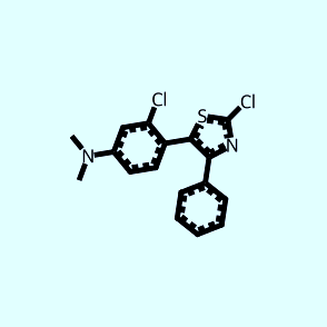 CN(C)c1ccc(-c2sc(Cl)nc2-c2ccccc2)c(Cl)c1